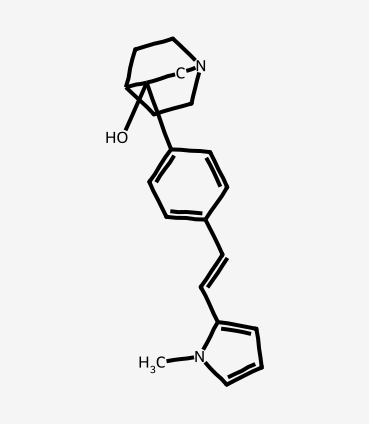 Cn1cccc1C=Cc1ccc(C2(O)CN3CCC2CC3)cc1